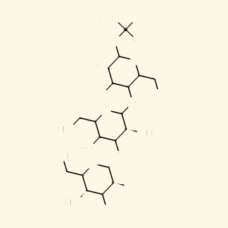 C[C@@H]1C(OC(C)(C)C)OC(CO)C(OC2OC(CO)C(O)C(O[C@H]3OC(CO)[C@H](O)C(O)[C@@H]3O)[C@@H]2O)C1O